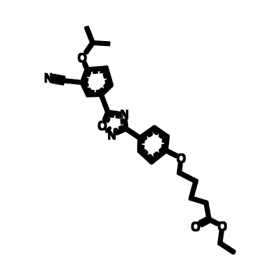 CCOC(=O)CCCCOc1ccc(-c2noc(-c3ccc(OC(C)C)c(C#N)c3)n2)cc1